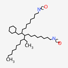 CCCCCCCCC(CC)C(CCCCCCCCN=C=O)C(CCCCCCCCN=C=O)CC1CCCCC1